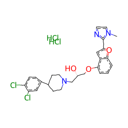 Cl.Cl.Cn1ccnc1-c1cc2c(OC[C@@H](O)CN3CCC(c4ccc(Cl)c(Cl)c4)CC3)cccc2o1